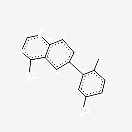 Cc1ccc(N)cc1-c1ccc2ncnc(N)c2c1